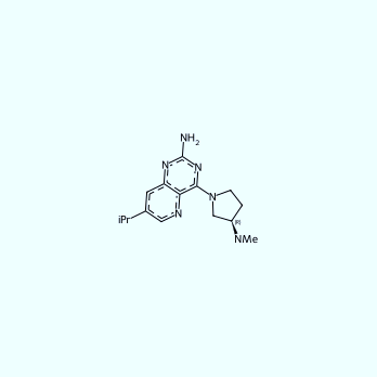 CN[C@@H]1CCN(c2nc(N)nc3cc(C(C)C)cnc23)C1